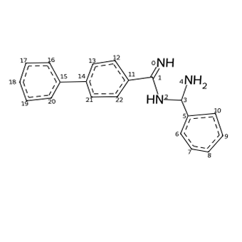 N=C(NC(N)c1ccccc1)c1ccc(-c2ccccc2)cc1